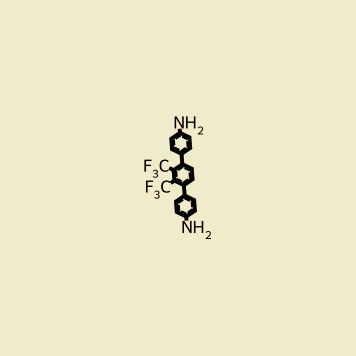 Nc1ccc(-c2ccc(-c3ccc(N)cc3)c(C(F)(F)F)c2C(F)(F)F)cc1